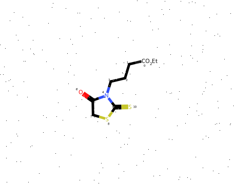 CCOC(=O)CCCN1C(=O)CSC1=S